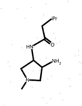 CC(C)CC(=O)NC1CN(C)CC1N